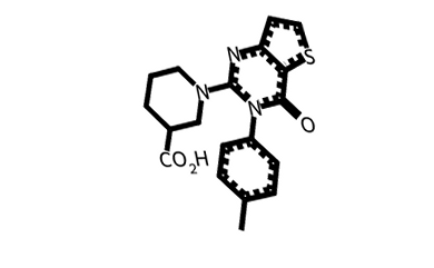 Cc1ccc(-n2c(N3CCCC(C(=O)O)C3)nc3ccsc3c2=O)cc1